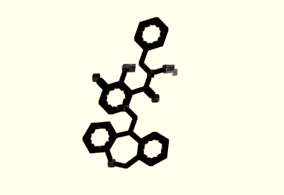 CN(Cc1ccccc1)C(=O)c1c(O)c(=O)ccn1CC1c2ccccc2COc2ccccc21